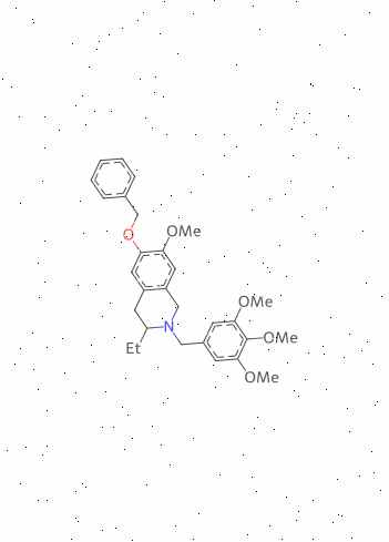 CCC1Cc2cc(OCc3ccccc3)c(OC)cc2CN1Cc1cc(OC)c(OC)c(OC)c1